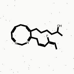 C/C=C(F)\C=C/CC1=N/C/N=C\C=C/C/C=C\1CCCCC(C)O